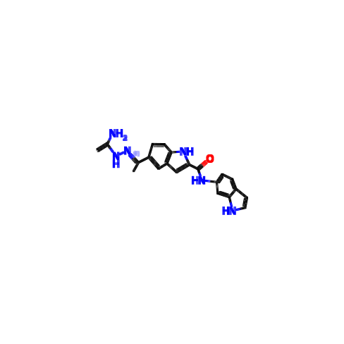 C=C(N)N/N=C(\C)c1ccc2[nH]c(C(=O)Nc3ccc4cc[nH]c4c3)cc2c1